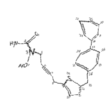 NC(=O)N(O)CC#CCc1ccc(Cc2ccc(-c3ccccc3)cc2)s1